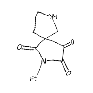 CCN1C(=O)C(=O)C2(CCNC2)C1=O